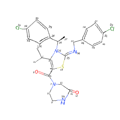 CC(C)c1c(C(=O)N2CCNC(=O)C2)s/c(=N/Cc2ccc(Cl)cc2)n1[C@H](C)c1ccc(Cl)cc1